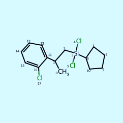 CC(C[Si](Cl)(Cl)C1CCCC1)c1ccccc1Cl